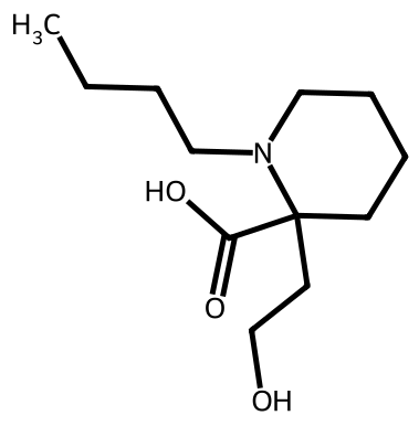 CCCCN1CCCCC1(CCO)C(=O)O